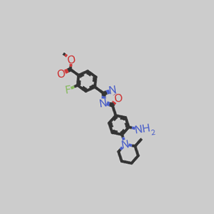 COC(=O)c1ccc(-c2noc(-c3ccc(N4CCCCC4C)c(N)c3)n2)cc1F